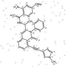 C=C(NC(C)c1cc2cccc(C#Cc3cnn(C)c3)c2c(=O)n1-c1ccccc1)c1ncc(OC)nc1N